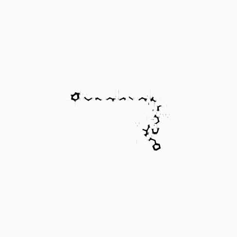 CCC(C)C(C(CC(=O)N1CCC[C@H]1C(OC)C(C)C(=O)NC(Cc1ccccc1)C(=O)O)OC)N(C)C(=O)C(NC(=O)C(C)(C)NC(=O)CCOCCOCCNC(=O)CCOCCOCCC(=O)Oc1c(F)c(F)c(F)c(F)c1F)C(C)C